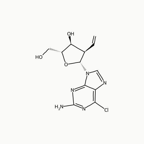 C=C[C@@H]1[C@H](O)[C@@H](CO)O[C@H]1n1cnc2c(Cl)nc(N)nc21